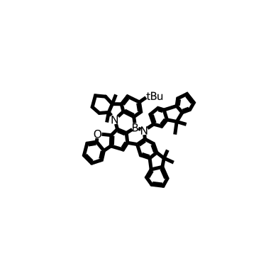 CC(C)(C)c1cc2c3c(c1)C1(C)CCCCC1(C)N3c1c3c(cc4c1oc1ccccc14)-c1cc4c(cc1N(c1ccc5c(c1)C(C)(C)c1ccccc1-5)B23)C(C)(C)c1ccccc1-4